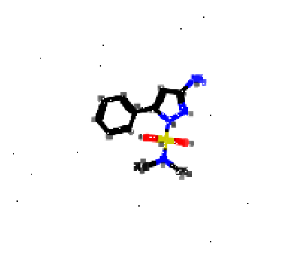 CN(C)S(=O)(=O)n1nc(N)cc1-c1ccccc1